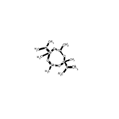 CN(C)[Si]1(C)O[SiH](C)O[Si](C)(N(C)C)O[SiH](C)O1